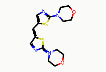 C1=NC(=[N+]2CCOCC2)S/C1=C\c1cnc(N2CCOCC2)s1